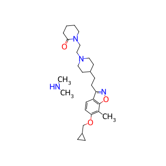 CNC.Cc1c(OCC2CC2)ccc2c(CCC3CCN(CCN4CCCCC4=O)CC3)noc12